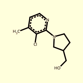 Cc1ccnc(N2CCC(CO)C2)c1Cl